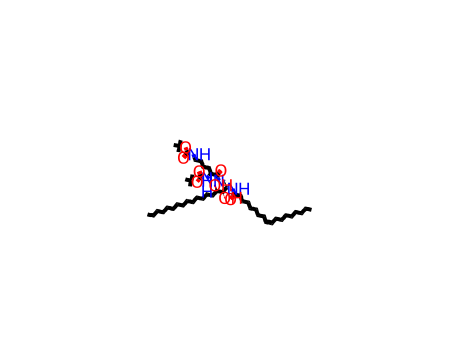 CCCCCCCC/C=C\CCCCCCCC(=O)N[C@@H](CNC(=O)C(CCCCNC(=O)OC(C)(C)C)NC(=O)OC(C)(C)C)[C@H](O)[C@H](O)CCCCCCCCCCCCCC